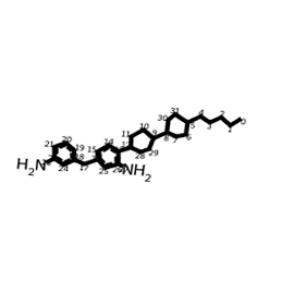 CCCCCC1CCC(C2CCC(c3ccc(Cc4cccc(N)c4)cc3N)CC2)CC1